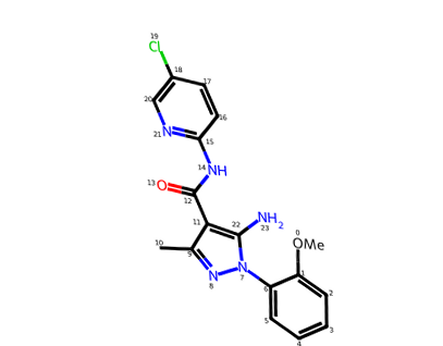 COc1ccccc1-n1nc(C)c(C(=O)Nc2ccc(Cl)cn2)c1N